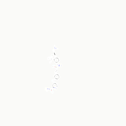 CNC(=O)c1cc(Oc2cccc(C=CC(=O)Nc3ccc(C#CCN(C)C)c(C(F)(F)F)c3)c2)ccn1